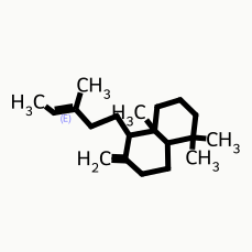 C=C1CCC2C(C)(C)CCCC2(C)C1CC/C(C)=C/C